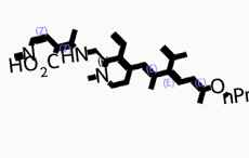 C=CC1=C(/C=C(C)/C(=C/C=C(\C)OCCC)C(=C)C)CCN(C)[C@H]1CN/C(C)=C(/C=C\N=C)C(=O)O